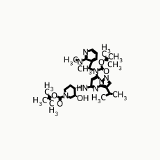 CC(C)c1cnn2c(N(Cc3cccnc3N(C)C)C(=O)OC(C)(C)C)cc(NC[C@H]3CCN(C(=O)OC(C)(C)C)C[C@@H]3O)nc12